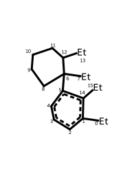 CCc1cccc(C2(CC)CCCCC2CC)c1CC